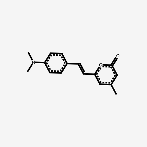 Cc1cc(C=Cc2ccc(N(C)C)cc2)oc(=O)c1